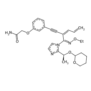 C=C/C=C(C#Cc1cccc(OCC(N)=O)c1)\C(=N/OCC)n1ccnc1[C@H](C)OC1CCCCO1